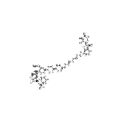 COc1cc(N2CCC(N3CCN(CCCOCCOCCCc4cccc5c4CN(C4CCC(=O)NC4=O)C5=O)CC3)CC2)ccc1Nc1ncc(Cl)c(Nc2ccccc2P(C)(C)=O)n1